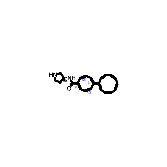 O=C(N[C@@H]1CCNC1)C1=C/C=C\C(c2ccccccccc2)=C/C=C\1